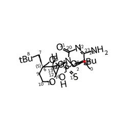 Cc1cn([C@@H]2O[C@@]3(CC(C)(C)C)CCOC2[C@H]3OP(O)(=S)OC(C)(C)C)c(=O)nc1N